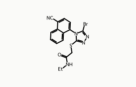 CCNC(=O)CSc1nnc(Br)n1-c1ccc(C#N)c2ccccc12